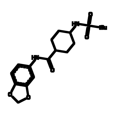 CC(C)(C)S(=O)(=O)NC1CCC(C(=O)Nc2ccc3c(c2)OCO3)CC1